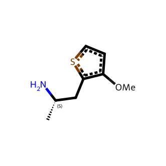 COc1ccsc1C[C@H](C)N